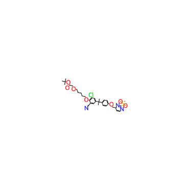 CC(C)(C)OC(=O)COCCCCCOc1c(Cl)cc(C(C)(C)c2ccc(OCc3ccnc(S(C)(=O)=O)n3)cc2)cc1C#N